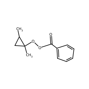 CC1CC1(C)OOC(=O)c1ccccc1